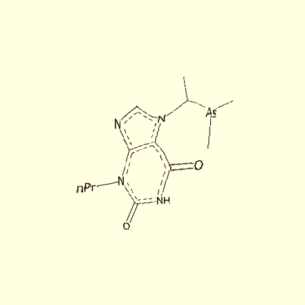 CCCn1c(=O)[nH]c(=O)c2c1ncn2C(C)[As](C)C